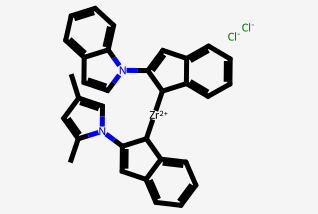 Cc1cc(C)n(C2=Cc3ccccc3[CH]2[Zr+2][CH]2C(n3ccc4ccccc43)=Cc3ccccc32)c1.[Cl-].[Cl-]